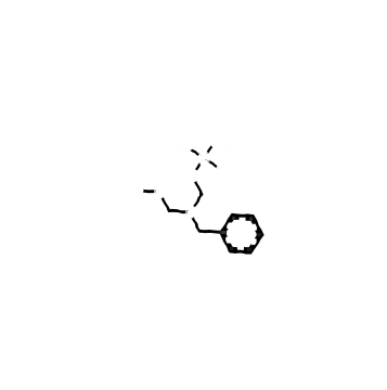 COCN(CO[Si](C)(C)C)Cc1ccccc1